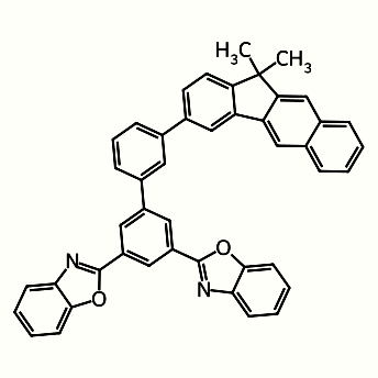 CC1(C)c2ccc(-c3cccc(-c4cc(-c5nc6ccccc6o5)cc(-c5nc6ccccc6o5)c4)c3)cc2-c2cc3ccccc3cc21